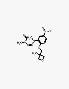 CN(C=O)/N=N\N(C)c1cc([N+](=O)[O-])ccc1OCC1(C)COC1